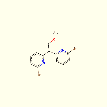 COCC(c1cccc(Br)n1)c1cccc(Br)n1